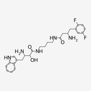 NC(CC(=O)NCCCCNC(=O)C(O)C(N)Cc1c[nH]c2ccccc12)Cc1cc(F)ccc1F